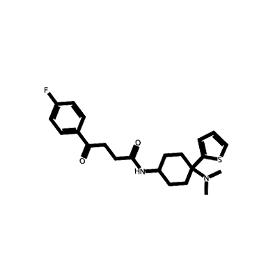 CN(C)C1(c2cccs2)CCC(NC(=O)CCC(=O)c2ccc(F)cc2)CC1